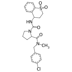 CN(Cc1ccc(Cl)cc1)C(=O)C1CCCN1C(=O)NC1CCS(=O)(=O)c2ccccc21